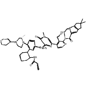 C=CC(=O)NC1CCCCC1c1cc(Nc2nc(-c3ccnc(N4CCn5c(cc6c5CC(C)(C)C6)C4=O)c3CO)cn(C)c2=O)ccc1N1CCN(C2CCOCC2)C[C@@H]1C